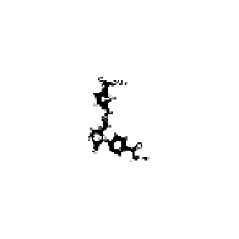 CCCCC[C@H](O)c1ccc(N2C(=O)OCC2COCc2ccc(C(=O)OC)s2)cc1